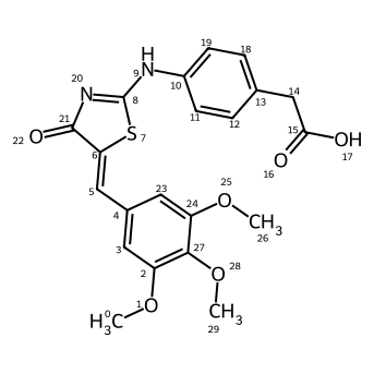 COc1cc(/C=C2\SC(Nc3ccc(CC(=O)O)cc3)=NC2=O)cc(OC)c1OC